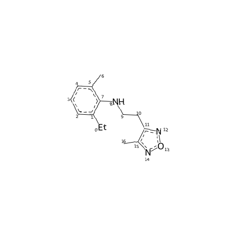 CCc1cccc(C)c1NCCc1nonc1C